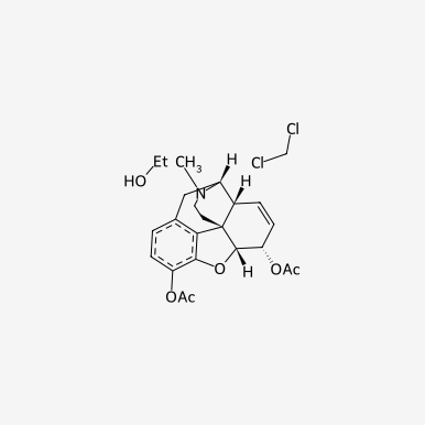 CC(=O)Oc1ccc2c3c1O[C@H]1[C@@H](OC(C)=O)C=C[C@H]4[C@@H](C2)N(C)CC[C@@]341.CCO.ClCCl